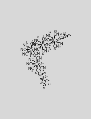 N#[C][Co-3]([C]#N)([C]#N)([C]#N)([C]#N)[C]#N.N#[C][Co-3]([C]#N)([C]#N)([C]#N)([C]#N)[C]#N.N#[C][Co-3]([C]#N)([C]#N)([C]#N)([C]#N)[C]#N.N#[C][Co-3]([C]#N)([C]#N)([C]#N)([C]#N)[C]#N.[Ca+2].[Ca+2].[Ca+2].[Zn+2].[Zn+2].[Zn+2]